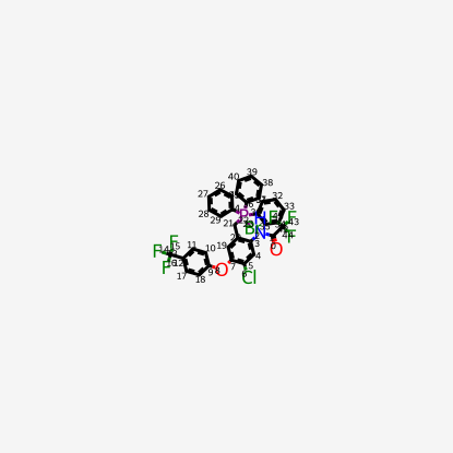 O=C(Nc1cc(Cl)c(Oc2ccc(C(F)(F)F)cc2)cc1CP(Br)(c1ccccc1)(c1ccccc1)c1ccccc1)C(F)(F)F